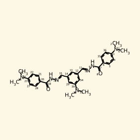 CN(C)c1ccc(C(=O)N/N=C/c2cc(/C=N/NC(=O)c3ccc(N(C)C)cc3)cc(N(C)C)c2)cc1